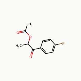 CC(=O)OC(C)C(=O)c1ccc(Br)cc1